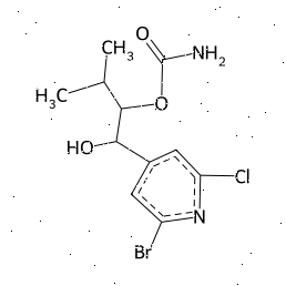 CC(C)C(OC(N)=O)C(O)c1cc(Cl)nc(Br)c1